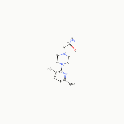 COc1ccc([N+](=O)[O-])c(N2CCN(CC(N)=O)CC2)n1